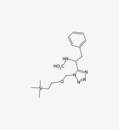 C[Si](C)(C)CCOCn1nnnc1C(Cc1ccccc1)NC(=O)O